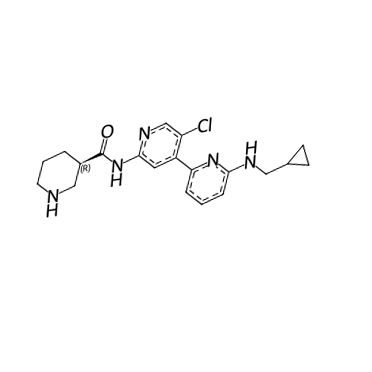 O=C(Nc1cc(-c2cccc(NCC3CC3)n2)c(Cl)cn1)[C@@H]1CCCNC1